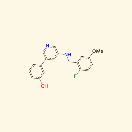 COc1ccc(F)c(CNc2cncc(-c3cccc(O)c3)c2)c1